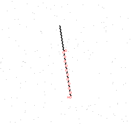 CCCCCCCCCCCCCCCCCC(=O)OCCOCCOCCOCCOCCOCCOCCOCCOCCOCCO